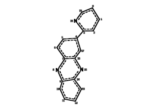 c1ccc(-c2ccc3nc4ccccc4nc3c2)nc1